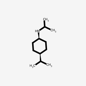 CC(C)N[C@H]1CC[C@@H](C(C)C)CC1